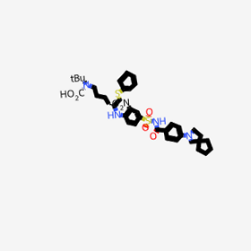 CC(C)(C)N(CCCC[C@H](CSc1ccccc1)Nc1ccc(S(=O)(=O)NC(=O)c2ccc(N3CCC4(CCCC4)C3)cc2)cc1[N+](=O)[O-])C(=O)O